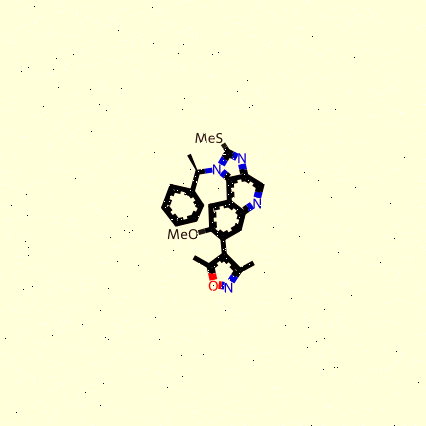 COc1cc2c(cc1-c1c(C)noc1C)ncc1nc(SC)n([C@H](C)c3ccccc3)c12